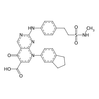 CNS(=O)(=O)CCc1ccc(Nc2ncc3c(=O)c(C(=O)O)cn(-c4ccc5c(c4)CCC5)c3n2)cc1